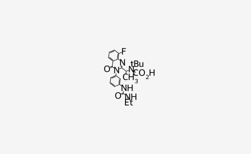 CCNC(=O)Nc1cccc(-n2c([C@H](C)N(C(=O)O)C(C)(C)C)nc3c(F)cccc3c2=O)c1